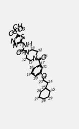 CS(=O)(=O)c1nnc(NC(=O)N2CCN(C(=O)c3cccc(OCCC4CCCCC4)c3)CC2)s1